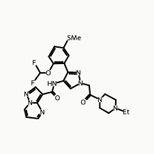 CCN1CCN(C(=O)Cn2cc(NC(=O)c3cnn4cccnc34)c(-c3cc(SC)ccc3OC(F)F)n2)CC1